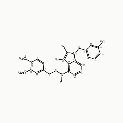 COc1ccc(CCN(C)c2ncnc3c2c(C)c(C)n3Cc2cccc(Cl)c2)cc1OC